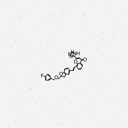 O=c1cc(-c2nnn[nH]2)oc2c(C=Cc3ccc4c(c3)CC(COCc3ccc(F)cc3)O4)cccc12